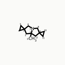 CC12CC3(CC3)CN1CC1(CC1)C2